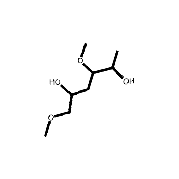 COCC(O)CC(OC)C(C)O